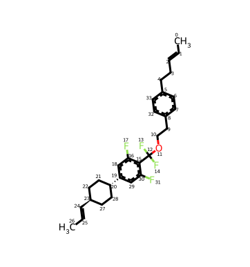 C/C=C/CCc1ccc(CCOC(F)(F)c2c(F)cc([C@H]3CC[C@H](/C=C/C)CC3)cc2F)cc1